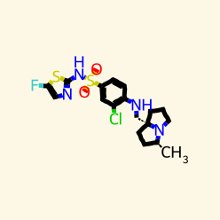 C[C@@H]1CC[C@@]2(CNc3ccc(S(=O)(=O)Nc4ncc(F)s4)cc3Cl)CCCN12